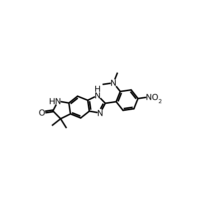 CN(C)c1cc([N+](=O)[O-])ccc1-c1nc2cc3c(cc2[nH]1)NC(=O)C3(C)C